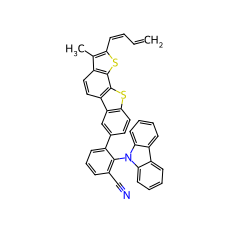 C=C/C=C\c1sc2c(ccc3c4cc(-c5cccc(C#N)c5-n5c6ccccc6c6ccccc65)ccc4sc32)c1C